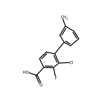 Cc1cccc(-c2ccc(C(=O)O)c(F)c2Cl)c1